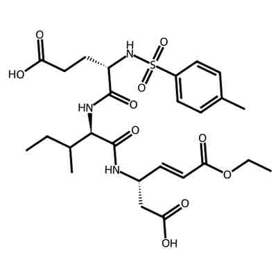 CCOC(=O)/C=C/[C@H](CC(=O)O)NC(=O)[C@H](NC(=O)[C@H](CCC(=O)O)NS(=O)(=O)c1ccc(C)cc1)C(C)CC